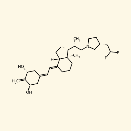 C=C1[C@H](O)CC(=C/C=C2\CCC[C@]3(C)[C@@H]([C@H](C)CN4CC[C@H](CC(F)F)C4)CC[C@@H]23)C[C@H]1O